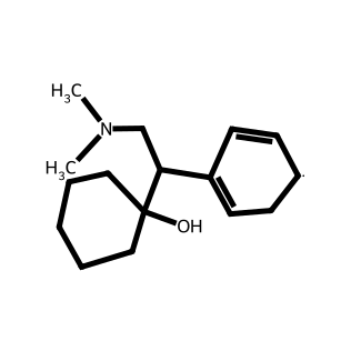 CN(C)CC(C1=CC[CH]C=C1)C1(O)CCCCC1